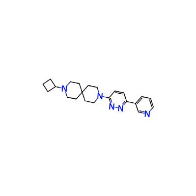 c1cncc(-c2ccc(N3CCC4(CC3)CCN(C3CCC3)CC4)nn2)c1